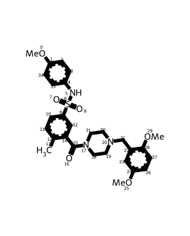 COc1ccc(NS(=O)(=O)c2ccc(C)c(C(=O)N3CCN(Cc4cc(OC)ccc4OC)CC3)c2)cc1